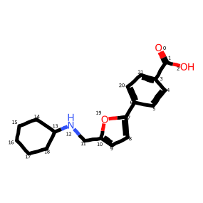 O=C(O)c1ccc(-c2ccc(CNC3CCCCC3)o2)cc1